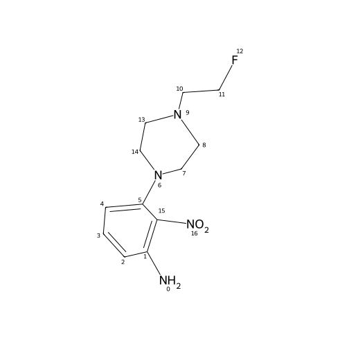 Nc1cccc(N2CCN(CCF)CC2)c1[N+](=O)[O-]